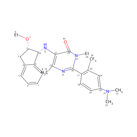 CCO[C@H]1Cc2ccccc2[C@H]1Nc1c(C)nc(-c2ccc(N(C)C)cc2C(F)(F)F)n(CC)c1=O